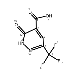 O=C(O)c1cc(C(F)(F)F)n[nH]c1=O